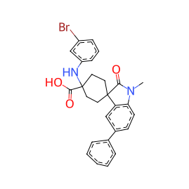 CN1C(=O)C2(CCC(Nc3cccc(Br)c3)(C(=O)O)CC2)c2cc(-c3ccccc3)ccc21